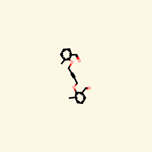 Cc1cccc(C=O)c1OCC#CCOc1c(C)cccc1C=O